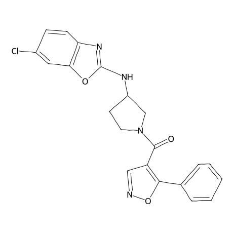 O=C(c1cnoc1-c1ccccc1)N1CCC(Nc2nc3ccc(Cl)cc3o2)C1